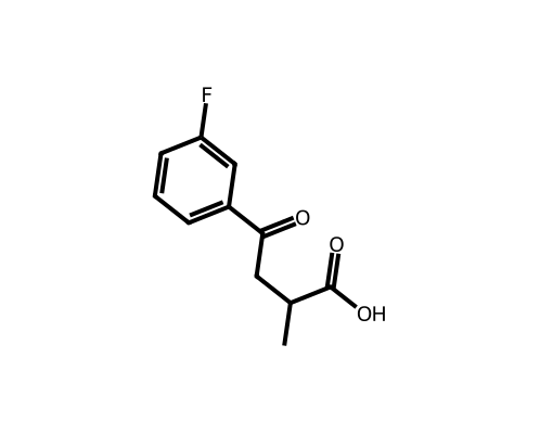 CC(CC(=O)c1cccc(F)c1)C(=O)O